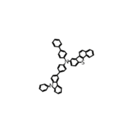 c1ccc(-c2ccc(N(c3ccc(-c4ccc5c(c4)c4ccccc4n5-c4ccccc4)cc3)c3ccc4sc5c6ccccc6ccc5c4c3)cc2)cc1